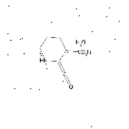 O.O=C=C1NCCCC1C(=O)O